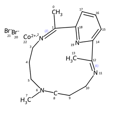 C/C1=N/CCCN(C)CCC/N=C(\C)c2cccc1n2.[Br-].[Br-].[Co+2]